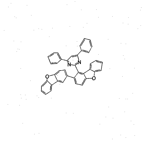 c1ccc(-c2cc(-c3ccccc3)nc(-c3c(-c4ccc5oc6ccccc6c5c4)ccc4oc5ccccc5c34)n2)cc1